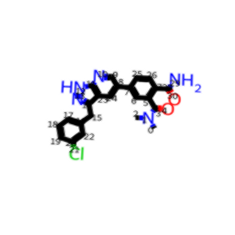 CN(C)C(=O)c1cc(-c2cnc3[nH]nc(Cc4cccc(Cl)c4)c3c2)ccc1C(N)=O